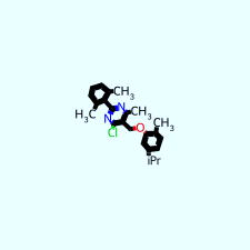 Cc1ccc(C(C)C)cc1OCc1c(C)nc(-c2c(C)cccc2C)nc1Cl